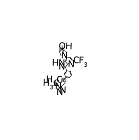 C[C@H](Cc1nncn1C)c1cccc(-c2n[nH]c3c(N4CC[C@@H](O)C4)cc(C(F)(F)F)nc23)c1